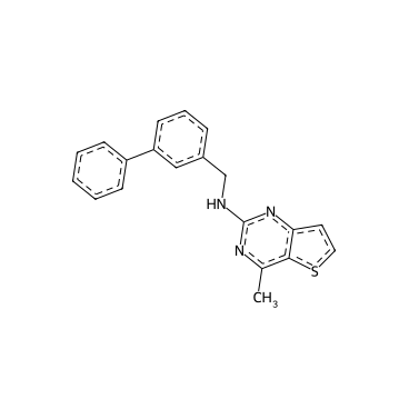 Cc1nc(NCc2cccc(-c3ccccc3)c2)nc2ccsc12